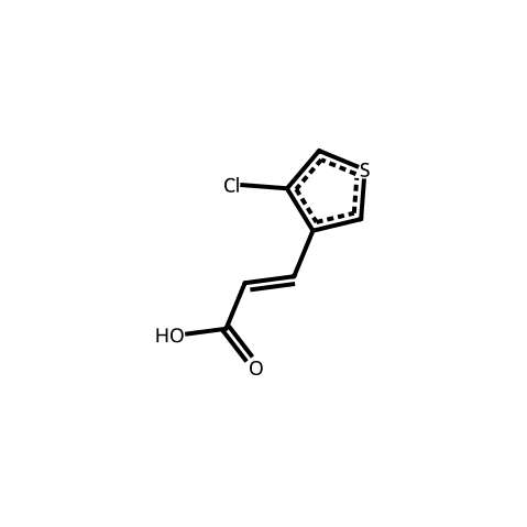 O=C(O)C=Cc1cscc1Cl